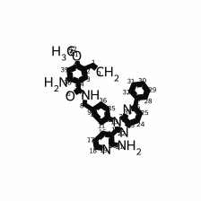 C=Cc1cc(C(=O)NCc2ccc(-n3c(-c4cccnc4N)nc4ccc(-c5ccccc5)nc43)cc2)c(N)cc1OC